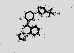 C[C@@H]1CC[C@@H](c2ncc(C(C)(C)O)s2)CN1C(=O)c1ccccc1-n1nccn1